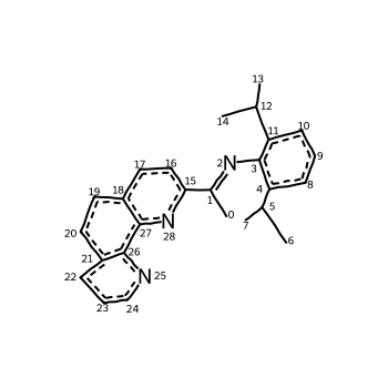 C/C(=N\c1c(C(C)C)cccc1C(C)C)c1ccc2ccc3cccnc3c2n1